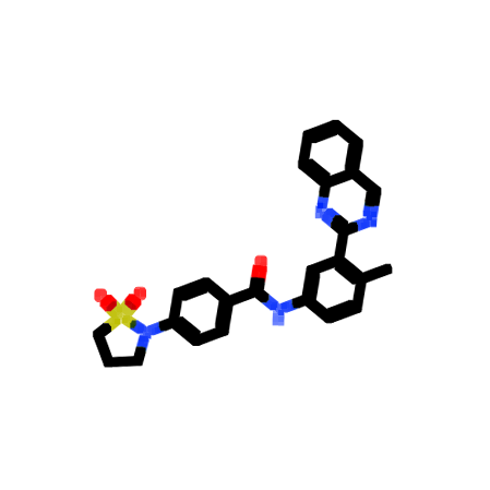 Cc1ccc(NC(=O)c2ccc(N3CCCS3(=O)=O)cc2)cc1-c1ncc2ccccc2n1